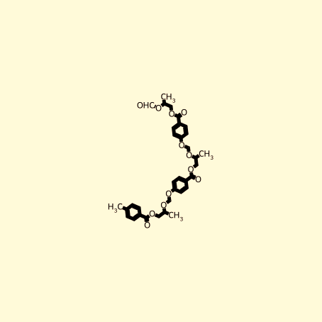 Cc1ccc(C(=O)OCC(C)OCOc2ccc(C(=O)OCC(C)OCOc3ccc(C(=O)OCC(C)OC=O)cc3)cc2)cc1